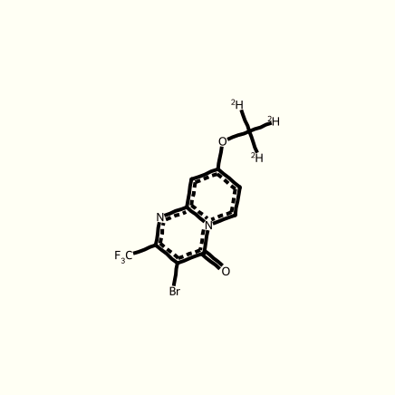 [2H]C([2H])([2H])Oc1ccn2c(=O)c(Br)c(C(F)(F)F)nc2c1